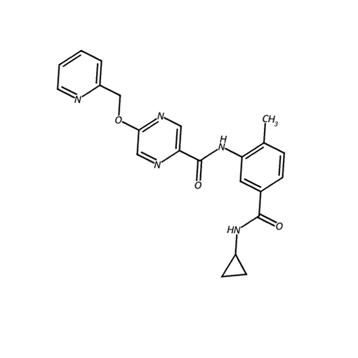 Cc1ccc(C(=O)NC2CC2)cc1NC(=O)c1cnc(OCc2ccccn2)cn1